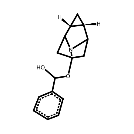 CN1C2CC(OC(O)c3ccccc3)CC1[C@@H]1C[C@H]21